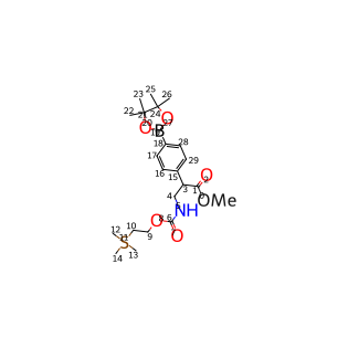 COC(=O)C(CNC(=O)OCCS(C)(C)C)c1ccc(B2OC(C)(C)C(C)(C)O2)cc1